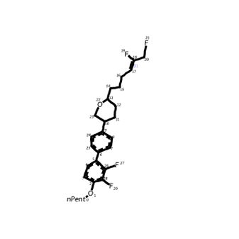 CCCCCOc1ccc(-c2ccc(C3CCC(CCC/C=C(\F)CF)OC3)cc2)c(F)c1F